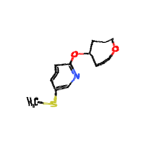 CSc1ccc(OC2CCOCC2)nc1